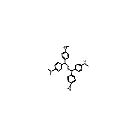 CNc1ccc(C(SSC(c2ccc(NC)cc2)c2ccc(NC)cc2)c2ccc(NC)cc2)cc1